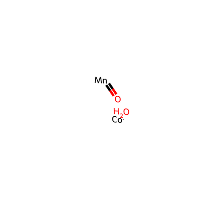 O.[Co].[O]=[Mn]